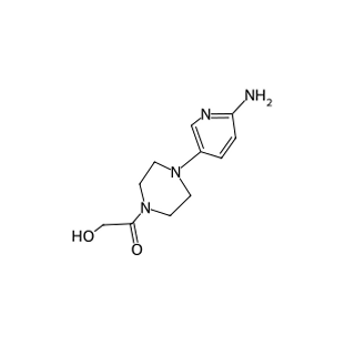 Nc1ccc(N2CCN(C(=O)CO)CC2)cn1